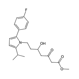 COC(=O)CC(=O)CC(O)CCn1c(-c2ccc(F)cc2)ccc1C(C)C